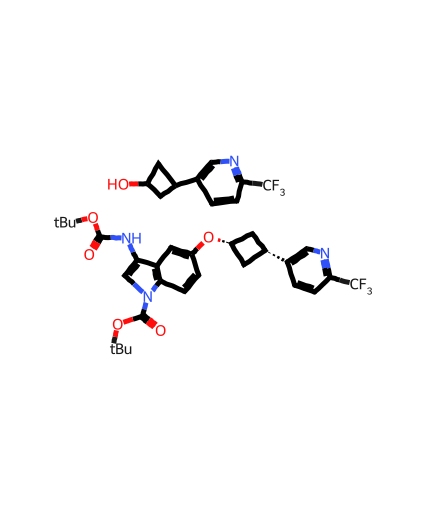 CC(C)(C)OC(=O)Nc1cn(C(=O)OC(C)(C)C)c2ccc(O[C@H]3C[C@@H](c4ccc(C(F)(F)F)nc4)C3)cc12.OC1CC(c2ccc(C(F)(F)F)nc2)C1